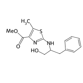 COC(=O)c1nc(NC(CO)Cc2ccccc2)sc1C